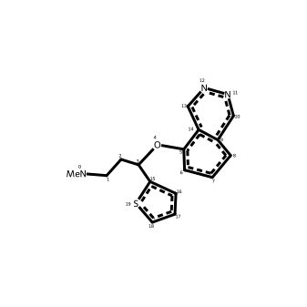 CNCCC(Oc1cccc2cnncc12)c1cccs1